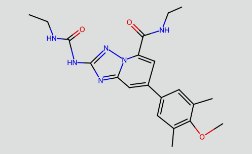 CCNC(=O)Nc1nc2cc(-c3cc(C)c(OC)c(C)c3)cc(C(=O)NCC)n2n1